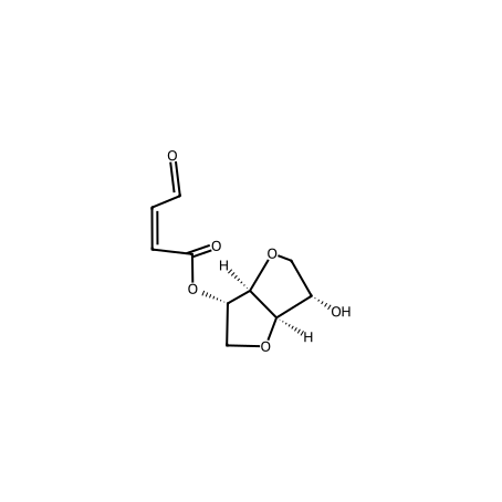 O=C/C=C\C(=O)O[C@H]1CO[C@H]2[C@@H]1OC[C@@H]2O